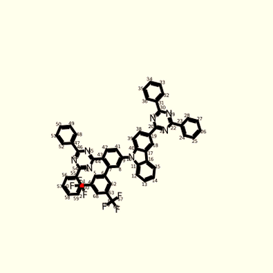 FC(F)(F)c1cc(-c2cc(-n3c4ccccc4c4cc(-c5nc(-c6ccccc6)nc(-c6ccccc6)n5)ccc43)ccc2-c2nc(-c3ccccc3)nc(-c3ccccc3)n2)cc(C(F)(F)F)c1